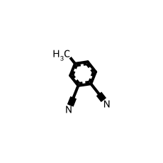 Cc1ccc(C#N)c(C#N)c1